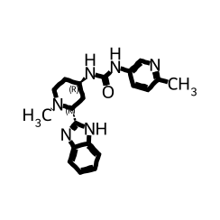 Cc1ccc(NC(=O)N[C@@H]2CCN(C)[C@@H](c3nc4ccccc4[nH]3)C2)cn1